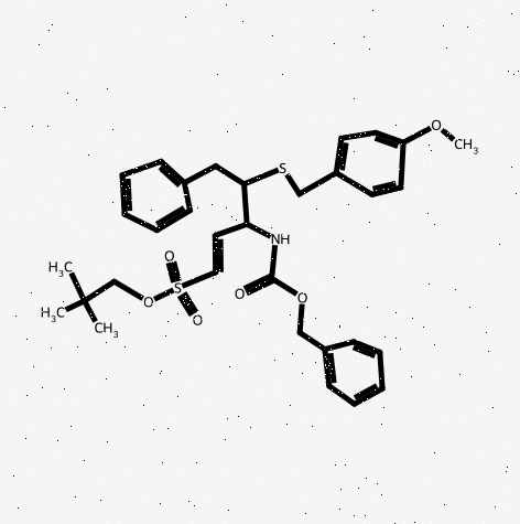 COc1ccc(CSC(Cc2ccccc2)C(/C=C/S(=O)(=O)OCC(C)(C)C)NC(=O)OCc2ccccc2)cc1